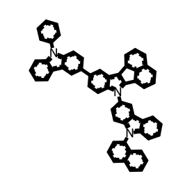 c1ccc(-n2c3ccccc3c3cc(-c4ccc5c(c4)c4c(n5-c5ccc6c(c5)c5ccccc5n6-c5cccc6ccccc56)-c5cccc6cccc-4c56)ccc32)cc1